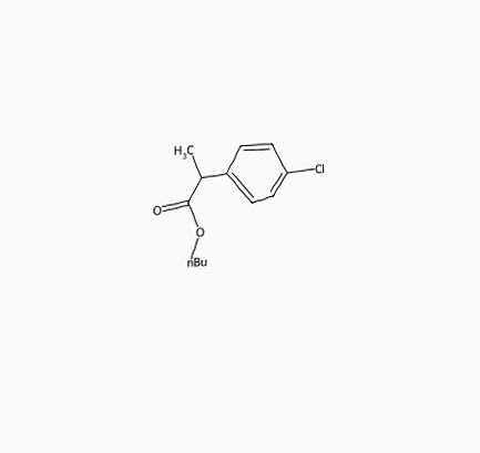 CCCCOC(=O)C(C)c1ccc(Cl)cc1